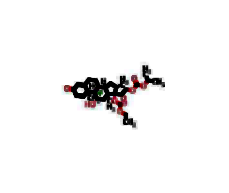 CCOC(=O)O[C@]1(C(=O)COC(=O)OC(C)C)[C@H](C)C[C@H]2[C@@H]3CCC4=CC(=O)C=C[C@]4(C)[C@@]3(F)[C@@H](O)C[C@@]21C